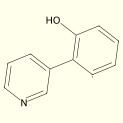 Oc1ccc[c]c1-c1cccnc1